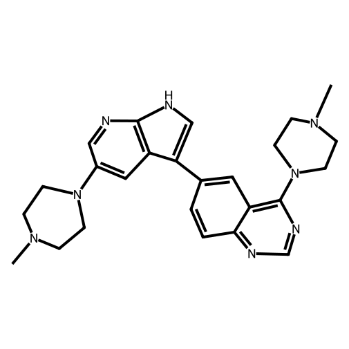 CN1CCN(c2cnc3[nH]cc(-c4ccc5ncnc(N6CCN(C)CC6)c5c4)c3c2)CC1